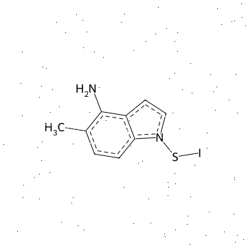 Cc1ccc2c(ccn2SI)c1N